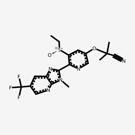 CC[S@@+]([O-])c1cc(OC(C)(C)C#N)cnc1-c1nc2cc(C(F)(F)F)cnc2n1C